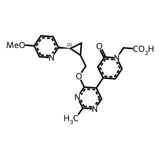 COc1ccc([C@H]2CC2COc2nc(C)ncc2-c2ccn(CC(=O)O)c(=O)c2)nc1